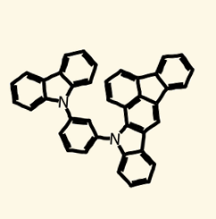 c1cc(-n2c3ccccc3c3ccccc32)cc(-n2c3ccccc3c3cc4c5c(cccc5c32)-c2ccccc2-4)c1